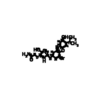 CC(C)c1cc(Oc2c(Br)cc(CC(=O)N[C@H](CCC(N)=O)C(=O)O)cc2Br)ccc1O